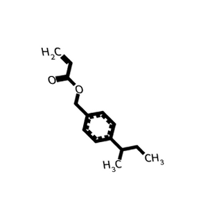 C=CC(=O)OCc1ccc(C(C)CC)cc1